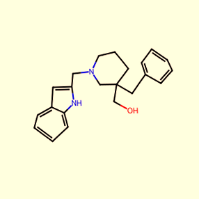 OCC1(Cc2ccccc2)CCCN(Cc2cc3ccccc3[nH]2)C1